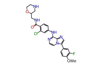 COc1ccc(-c2cnc3c(Nc4ccc(C(=O)NCC5CNCCO5)c(Cl)c4)nccn23)cc1F